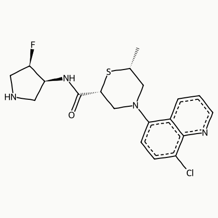 C[C@@H]1CN(c2ccc(Cl)c3ncccc23)C[C@H](C(=O)N[C@H]2CNC[C@H]2F)S1